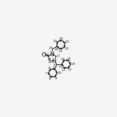 O=C1SN(C(c2ccccc2)c2ccccc2)CN1Cc1ccccc1